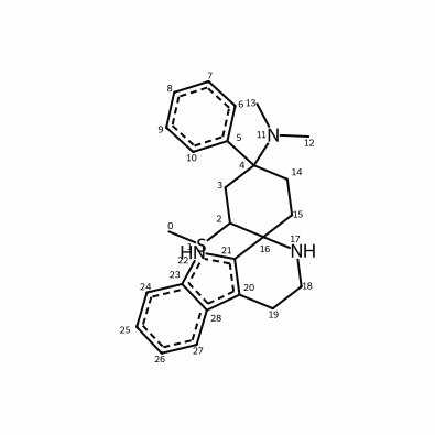 CSC1CC(c2ccccc2)(N(C)C)CCC12NCCc1c2[nH]c2ccccc12